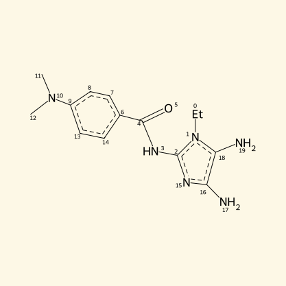 CCn1c(NC(=O)c2ccc(N(C)C)cc2)nc(N)c1N